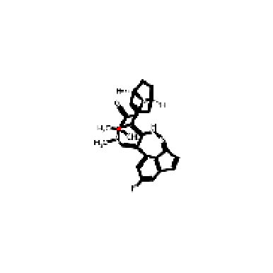 CN1C=C2C(=C(C3=C[C@H]4CC[C@@H](C3)N4CC(=O)N(C)C)C1)NN=C1C=Cc3cc(F)cc2c31